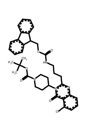 CC(C)(C)OC(=O)N1CCC(n2c(CCCNC(=O)OCC3c4ccccc4-c4ccccc43)nc3cccc(Cl)c3c2=O)CC1